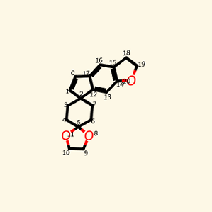 C1=CC2(CCC3(CC2)OCCO3)c2cc3c(cc21)CCO3